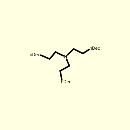 CCCCCCCCCCCCN(CCCCCCCCCCCC)CCCCCCCCCCCC